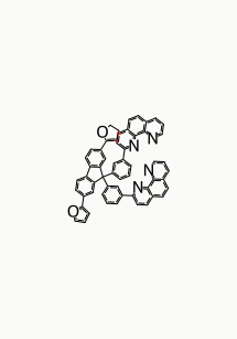 C1=C(c2ccc3c(c2)C(c2cccc(-c4ccc5ccc6cccnc6c5n4)c2)(c2cccc(-c4ccc5ccc6cccnc6c5n4)c2)c2cc(-c4ccco4)ccc2-3)OCC1